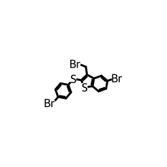 BrCc1c(Sc2ccc(Br)cc2)sc2ccc(Br)cc12